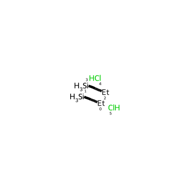 CC[SiH3].CC[SiH3].Cl.Cl